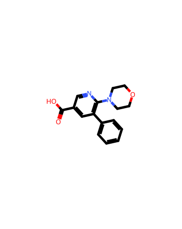 O=C(O)c1cnc(N2CCOCC2)c(-c2ccccc2)c1